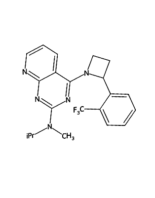 CC(C)N(C)c1nc(N2CCC2c2ccccc2C(F)(F)F)c2cccnc2n1